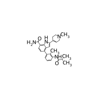 Cc1c(NC(=O)C(C)C)cccc1-c1ccc(C(N)=O)c2[nH]c(C3=CCN(C)CC3)cc12